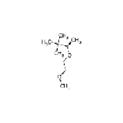 COCCO[C@H](C)C(C)(C)C